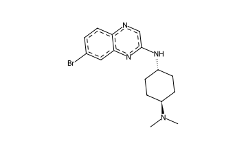 CN(C)[C@H]1CC[C@H](Nc2cnc3ccc(Br)cc3n2)CC1